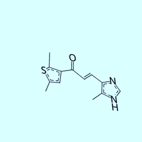 Cc1cc(C(=O)/C=C/c2nc[nH]c2C)c(C)s1